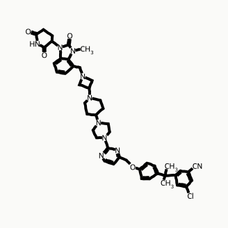 Cn1c(=O)n(C2CCC(=O)NC2=O)c2cccc(CN3CC(N4CCC(N5CCN(c6nccc(COc7ccc(C(C)(C)c8cc(Cl)cc(C#N)c8)cc7)n6)CC5)CC4)C3)c21